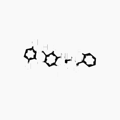 Cc1cc(Oc2cc(Cl)ccc2Cl)c(Cl)c(C)c1NC(=S)NC(=O)c1ccccc1F